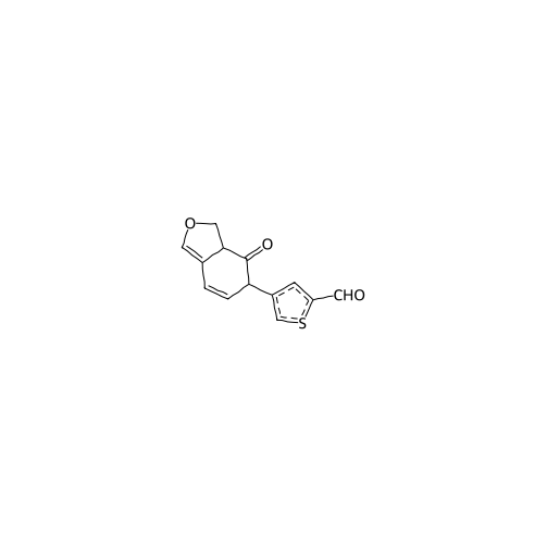 O=Cc1cc(C2C=CC3=COCC3C2=O)cs1